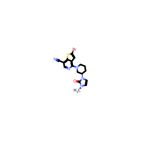 Cn1ccn([C@@H]2CCCN(c3ncc(C#N)c4sc(Br)cc34)C2)c1=O